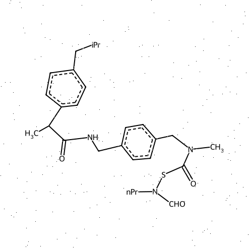 CCCN(C=O)SC(=O)N(C)Cc1ccc(CNC(=O)C(C)c2ccc(CC(C)C)cc2)cc1